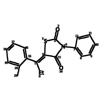 CC/C(=C1/SC(=O)N(c2ccccc2)C1=O)c1ccccc1C